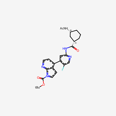 CC(=O)N[C@@H]1CCC[C@H](C(=O)Nc2cc(-c3ccnc4c3ccn4C(=O)OC(C)(C)C)c(F)cn2)C1